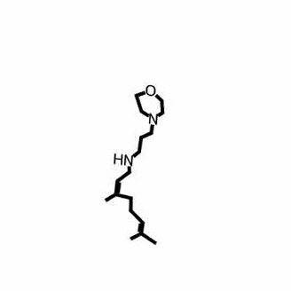 CC(C)=CCCC(C)=CCNCCCN1CCOCC1